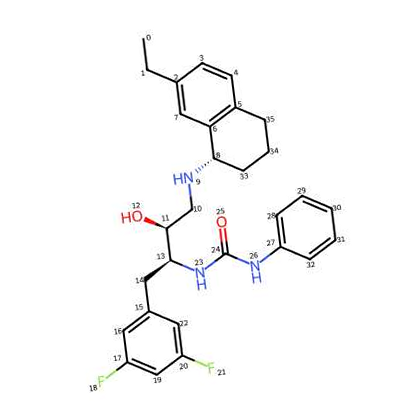 CCc1ccc2c(c1)[C@@H](NC[C@H](O)[C@H](Cc1cc(F)cc(F)c1)NC(=O)Nc1ccccc1)CCC2